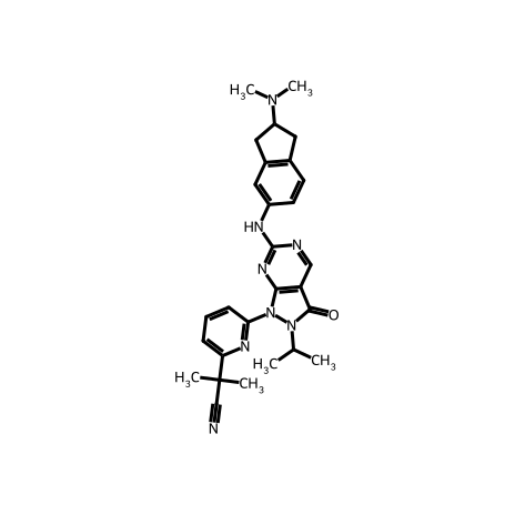 CC(C)n1c(=O)c2cnc(Nc3ccc4c(c3)CC(N(C)C)C4)nc2n1-c1cccc(C(C)(C)C#N)n1